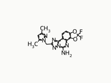 Cc1cc(C)n(Cc2nc3c4ccc5c(c4nc(N)n3n2)OC(F)(F)O5)n1